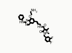 Cc1c(C(=O)NCC=Cc2cc(OCCN)c3nc(Nc4ccccc4)ncc3c2)c(=O)n(Cc2ccc(F)c(F)c2)n1C